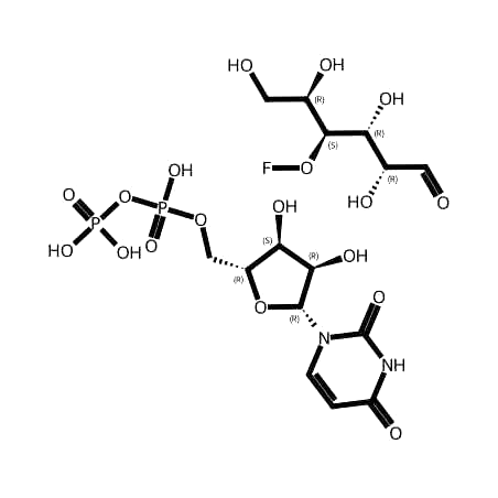 O=C[C@H](O)[C@@H](O)[C@@H](OF)[C@H](O)CO.O=c1ccn([C@@H]2O[C@H](COP(=O)(O)OP(=O)(O)O)[C@@H](O)[C@H]2O)c(=O)[nH]1